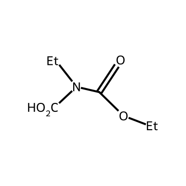 [CH2]COC(=O)N(CC)C(=O)O